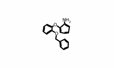 Nc1ccccc1Oc1ccccc1OCc1ccccc1